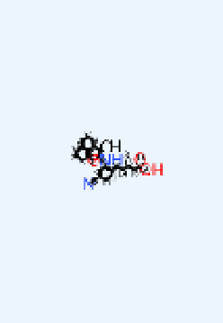 CC(C(=O)Nc1cc(C#N)ccc1CCCCC(=O)O)c1cccc2ccccc12